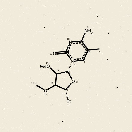 CC[C@H]1O[C@@H](n2cc(C)c(N)nc2=O)C(OC)C1OI